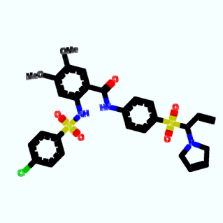 C=CC(N1CC=CC1)S(=O)(=O)c1ccc(NC(=O)c2cc(OC)c(OC)cc2NS(=O)(=O)c2ccc(Cl)cc2)cc1